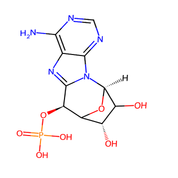 Nc1ncnc2c1nc1n2[C@@H]2OC([C@@H](O)C2O)[C@H]1OP(=O)(O)O